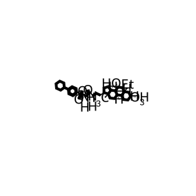 CC[C@H]1[C@@H](O)[C@@H]2[C@H](CC[C@]3(C)[C@@H](CCNC(=O)NS(=O)(=O)c4ccc(C5CCCCC5)cc4)CC[C@@H]23)[C@@]2(C)CC[C@@H](O)C[C@@H]12